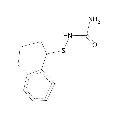 NC(=O)NSC1CCCc2ccccc21